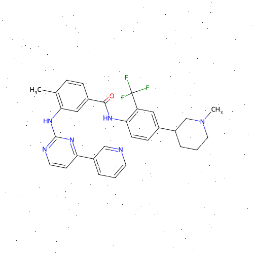 Cc1ccc(C(=O)Nc2ccc(C3CCCN(C)C3)cc2C(F)(F)F)cc1Nc1nccc(-c2cccnc2)n1